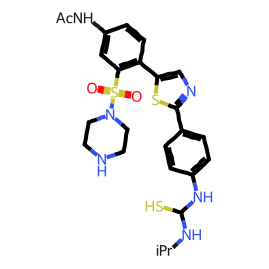 CC(=O)Nc1ccc(-c2cnc(-c3ccc(NC(S)NC(C)C)cc3)s2)c(S(=O)(=O)N2CCNCC2)c1